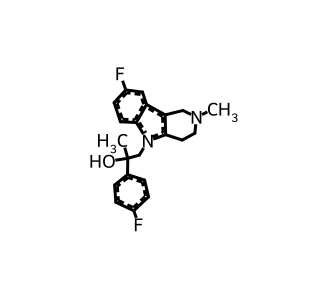 CN1CCc2c(c3cc(F)ccc3n2CC(C)(O)c2ccc(F)cc2)C1